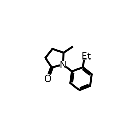 CCc1ccccc1N1C(=O)CCC1C